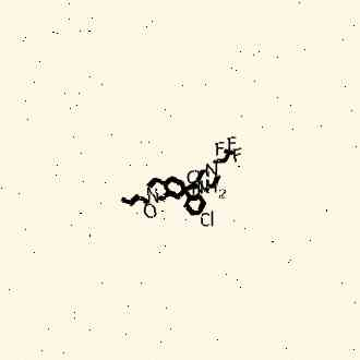 CCCC(=O)N1CCC2C=CC(C(N)=O)(c3ccc(Cl)cc3N3CCN(CCC(F)(F)F)CC3)C=C2C1